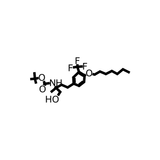 CCCCCCCOc1ccc(CCC(C)(CO)NC(=O)OC(C)(C)C)cc1C(F)(F)F